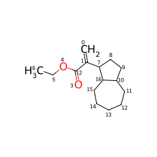 C=C(C(=O)OCC)C1CCC2CCCCCC21